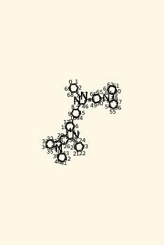 c1ccc(-c2nc(-c3ccc(-c4ccc5c(c4)nc(-c4ccccc4)c4cc6c(cc45)c4ccccc4n6-c4ccccc4)cc3)cc(-c3ccc(-n4c5ccccc5c5ccccc54)cc3)n2)cc1